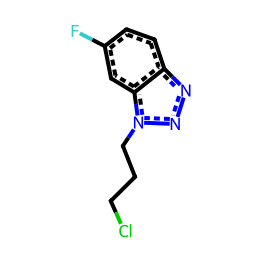 Fc1ccc2nnn(CCCCl)c2c1